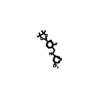 CC1(C)OB(c2ccc(CNc3cc(C(F)(F)F)cnn3)c(F)c2)OC1(C)C